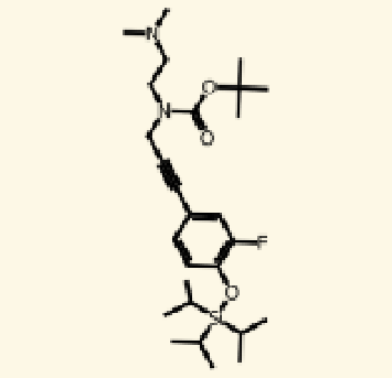 CC(C)[Si](Oc1ccc(C#CCN(CCN(C)C)C(=O)OC(C)(C)C)cc1F)(C(C)C)C(C)C